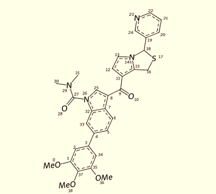 COc1cc(-c2ccc3c(C(=O)c4ccn5c4CSC5c4cccnc4)cn(C(=O)N(C)C)c3c2)cc(OC)c1OC